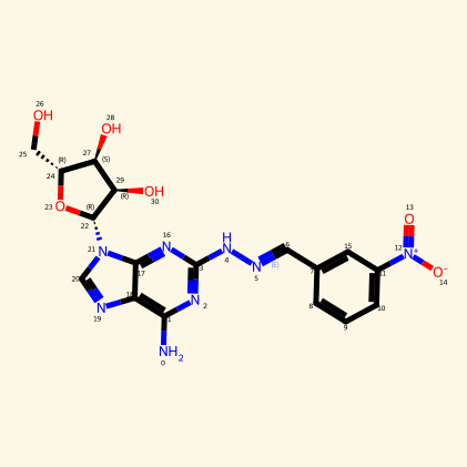 Nc1nc(N/N=C/c2cccc([N+](=O)[O-])c2)nc2c1ncn2[C@@H]1O[C@H](CO)[C@@H](O)[C@H]1O